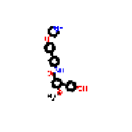 COc1ccc(C(=O)Nc2ccc(-c3ccc(OC4CCNCC4)cc3)cc2)cc1-c1ccc(O)cc1